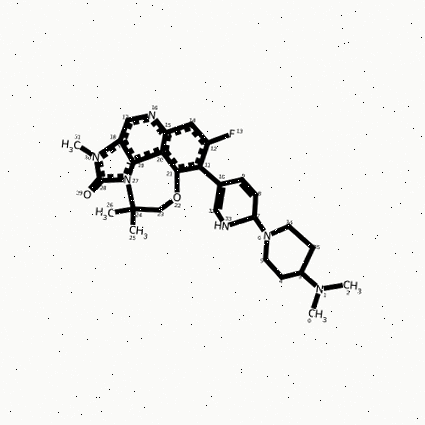 CN(C)C1CCN(C2C=CC(c3c(F)cc4ncc5c6c4c3OCC(C)(C)n6c(=O)n5C)=CN2)CC1